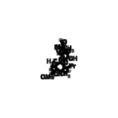 CCC(C)(OC12C(C)OC1C(O)C(O[C@@H]1C3=C(C(C)C)CCC3(C)/C=C3\[C@@H](CC[C@]3(O)COC)[C@@H](C)C1O)OC2COC)C1CO1